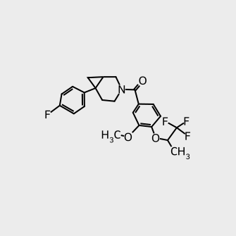 COc1cc(C(=O)N2CCC3(c4ccc(F)cc4)CC3C2)ccc1OC(C)C(F)(F)F